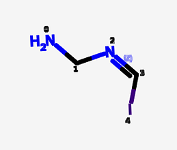 NC/N=C\I